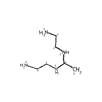 CC(NCCN)NCCN